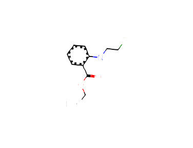 CCOC(=O)c1ccccc1NCCF